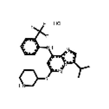 CC(C)c1cnc2c(Nc3ccccc3C(F)(F)F)cc(SC3CCCNC3)nn12.Cl